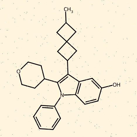 CC1CC2(C1)CC(c1c(C3CCOCC3)n(-c3ccccc3)c3ccc(O)cc13)C2